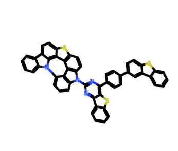 c1ccc2c(c1)sc1ccc(-c3ccc(-c4nc(-n5c6ccc7sc8ccc9c%10ccccc%10n%10c%11cccc5c%11c6c7c8c9%10)nc5c4sc4ccccc45)cc3)cc12